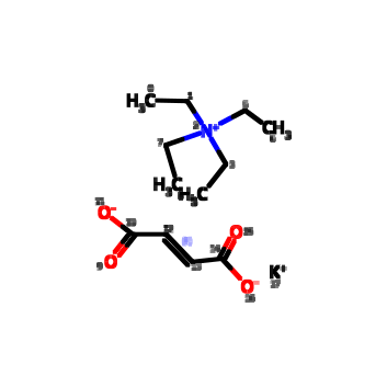 CC[N+](CC)(CC)CC.O=C([O-])/C=C/C(=O)[O-].[K+]